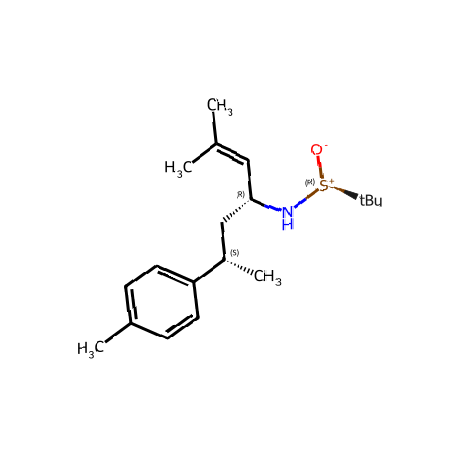 CC(C)=C[C@@H](C[C@H](C)c1ccc(C)cc1)N[S@@+]([O-])C(C)(C)C